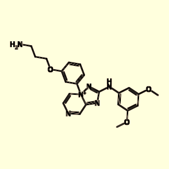 COc1cc(NC2=N[N+]3(c4cccc(OCCCN)c4)C=CN=CC3=N2)cc(OC)c1